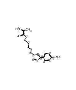 C=C(C)C(=O)SCSCCCC1CSC(c2ccc(SC)cc2)S1